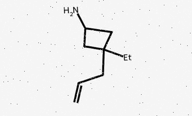 C=CCC1(CC)CC(N)C1